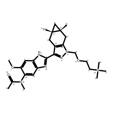 COc1cc2[nH]c(-c3nn(COCC[Si](C)(C)C)c4c3C[C@@H]3C[C@]3(C)C4)nc2cc1N(C)C(C)=O